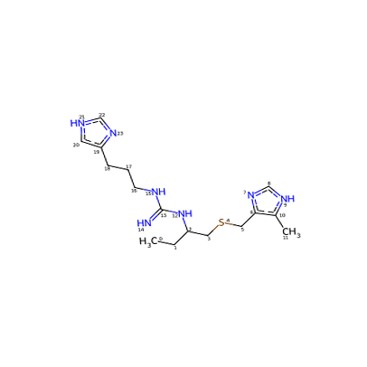 CCC(CSCc1nc[nH]c1C)NC(=N)NCCCc1c[nH]cn1